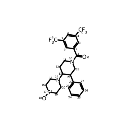 O=C(c1cc(C(F)(F)F)cc(C(F)(F)F)c1)N1CCC(N2CC[S+]([O-])CC2)C(c2ccccc2)C1